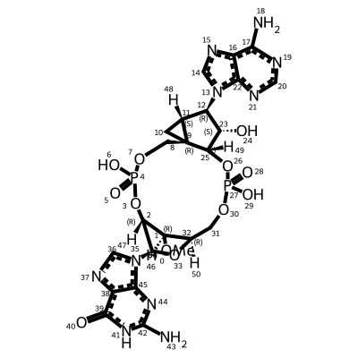 CO[C@H]1[C@H]2OP(=O)(O)OC[C@@]34C[C@@H]3[C@@H](n3cnc5c(N)ncnc53)[C@H](O)[C@@H]4OP(=O)(O)OC[C@H]1O[C@H]2n1cnc2c(=O)[nH]c(N)nc21